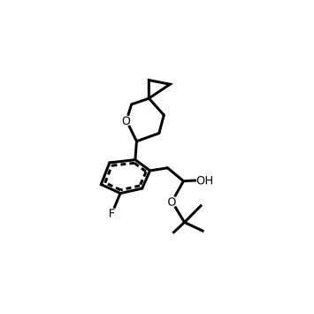 CC(C)(C)OC(O)Cc1cc(F)ccc1C1CCC2(CC2)CO1